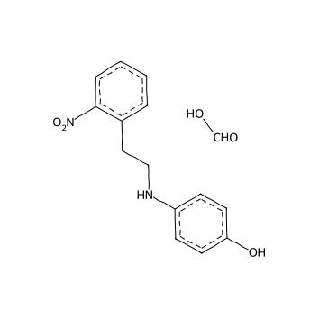 O=CO.O=[N+]([O-])c1ccccc1CCNc1ccc(O)cc1